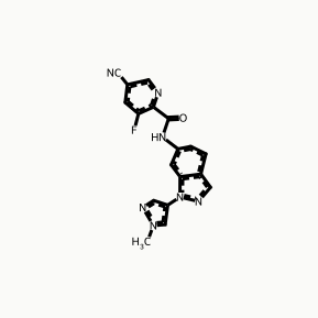 Cn1cc(-n2ncc3ccc(NC(=O)c4ncc(C#N)cc4F)cc32)cn1